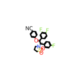 N#Cc1ccc(O[C@@H](c2ccc(F)c(F)c2)[C@@H](c2ccc(F)cc2)N2CCCS2(=O)=O)cc1